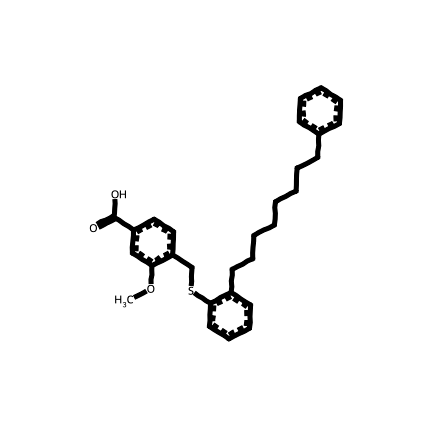 COc1cc(C(=O)O)ccc1CSc1ccccc1CCCCCCCCc1ccccc1